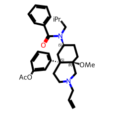 C=CCN1CC[C@@]2(c3cccc(OC(C)=O)c3)C[C@@H](N(CC(C)C)C(=O)c3ccccc3)CC[C@]2(OC)C1